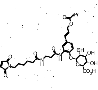 CC(C)C(=O)OC/C=C/c1ccc(O[C@@H]2O[C@H](C(=O)O)[C@@H](O)[C@H](O)[C@H]2O)c(NC(=O)CCNC(=O)CCCCCN2C(=O)C=CC2=O)c1